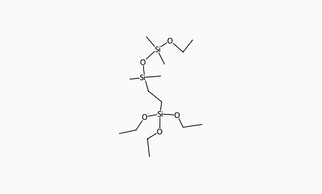 CCO[Si](C)(C)O[Si](C)(C)CC[Si](OCC)(OCC)OCC